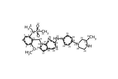 COc1cccc(N(C)S(C)(=O)=O)c1Cn1ccc2cnc(Nc3ccc(N4CCN[C@H](C)C4)cc3)nc21